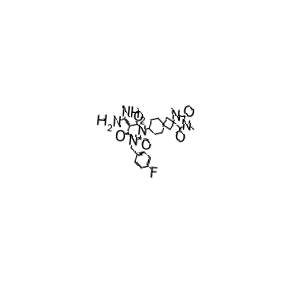 CN1C(=O)N(C)C2(CC3(CCC(N4C(=O)C(=C(N)N)C(=O)N(Cc5ccc(F)cc5)C4=O)CC3)C2)C1=O